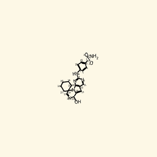 NS(=O)(=O)c1ccc(Nc2ncc3cc4n(c3n2)C2(C=NC4O)CCCCC2)cc1